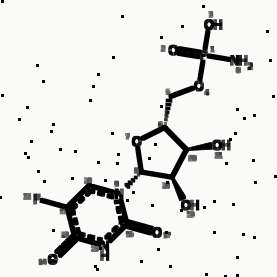 NP(=O)(O)OC[C@H]1O[C@@H](n2cc(F)c(=O)[nH]c2=O)[C@H](O)[C@@H]1O